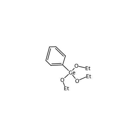 CC[O][Ge]([O]CC)([O]CC)[c]1ccccc1